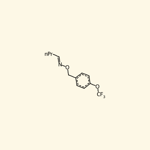 CCCC=NOCc1ccc(OC(F)(F)F)cc1